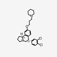 Clc1ccc([C@@H]2CN3CCC[C@H]3c3cc(OCCCN4CCCCC4)ccc32)cc1Cl